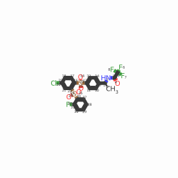 C[C@H](NC(=O)C(F)(F)F)c1ccc(S(=O)(=O)c2ccc(Cl)cc2S(=O)(=O)c2ccccc2F)cc1